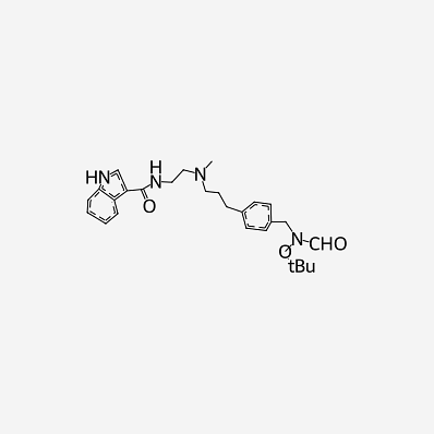 CN(CCCc1ccc(CN(C=O)OC(C)(C)C)cc1)CCNC(=O)c1c[nH]c2ccccc12